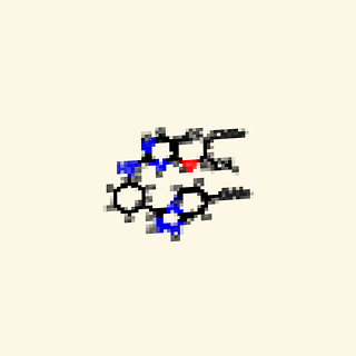 COC[C@@H](C)Oc1nc(N[C@@H]2CCC[C@H](c3nnc4cc(OC)ccn34)C2)ncc1C(F)(F)F